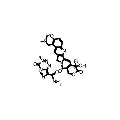 CC[C@@]1(O)C(=O)OCc2c1cc1n(c2=O)Cc2cc3c(CN(C)C)c(O)ccc3nc2-1.Cn1nnc2c(C(N)=O)ncn2c1=O